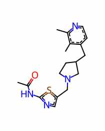 CC(=O)Nc1ncc(CN2CCC(Cc3ccnc(C)c3C)C2)s1